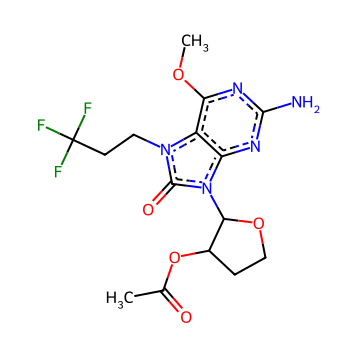 COc1nc(N)nc2c1n(CCC(F)(F)F)c(=O)n2C1OCCC1OC(C)=O